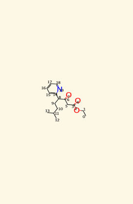 CCOC(=O)CC(=O)C(CCC(C)C)c1ccccn1